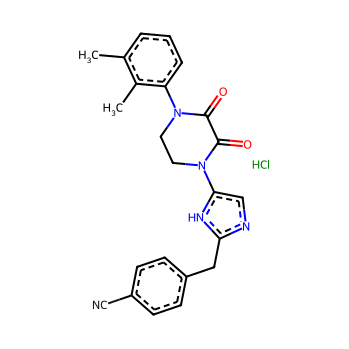 Cc1cccc(N2CCN(c3cnc(Cc4ccc(C#N)cc4)[nH]3)C(=O)C2=O)c1C.Cl